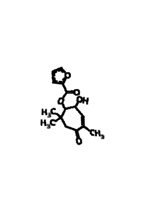 CC1=CC(O)C(OC(=O)c2ccco2)C(C)(C)CC1=O